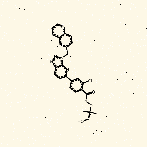 CC(C)(CO)ONC(=O)c1ccc(-c2ccc3nnn(Cc4ccc5ncccc5c4)c3n2)cc1Cl